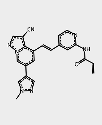 C=CC(=O)Nc1cc(/C=C/c2cc(-c3cnn(C)c3)cn3ncc(C#N)c23)ccn1